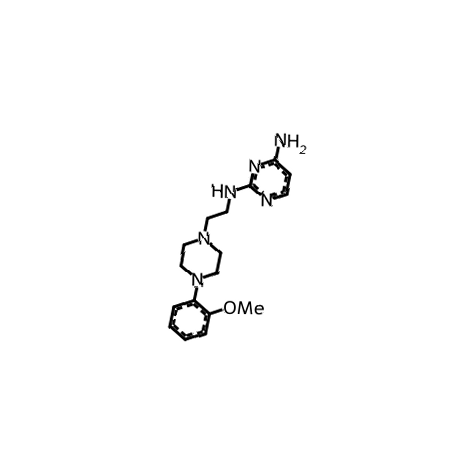 COc1ccccc1N1CCN(CCNc2nccc(N)n2)CC1